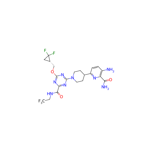 NC(=O)c1nc(C2CCN(c3nc(OC[C@@H]4CC4(F)F)nc(C(=O)NCC(F)(F)F)n3)CC2)ccc1N